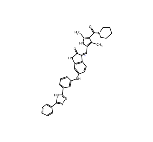 Cc1[nH]c(/C=C2\C(=O)Nc3cc(Nc4cccc(-c5nnc(-c6ccccc6)[nH]5)c4)ccc32)c(C)c1C(=O)N1CCCCC1